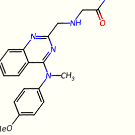 COc1ccc(N(C)c2nc(CNCC(=O)NO)nc3ccccc23)cc1